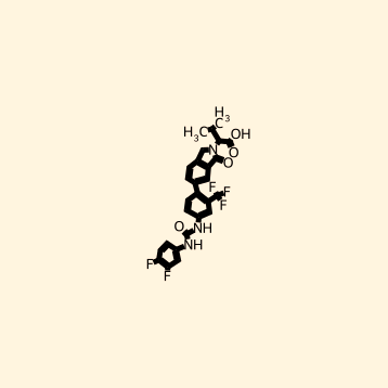 CC(C)C(C(=O)O)N1Cc2ccc(-c3ccc(NC(=O)Nc4ccc(F)c(F)c4)cc3C(F)(F)F)cc2C1=O